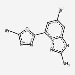 CC(C)c1nnc(-c2cc(Br)cc3nc(N)nn23)o1